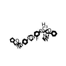 C[C@]1(COc2ccc(N3CCN(c4ccc(-n5cnn(CC6CCCC6)c5=O)cc4)CC3)c(F)c2)CO[C@](Cn2nccn2)(c2ccccc2)C1